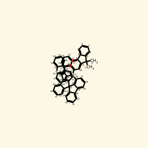 CC1(C)c2ccccc2-c2ccc(N(c3ccccc3-c3ccccc3)c3cccc4c3C3(c5ccccc5-4)c4ccccc4-c4c3ccc3c4sc4ccccc43)cc21